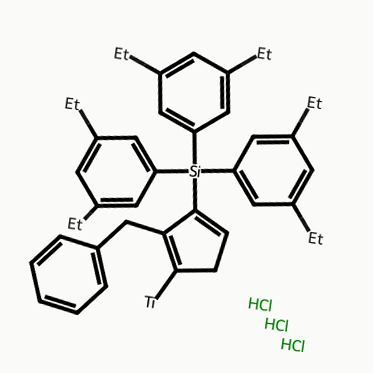 CCc1cc(CC)cc([Si](C2=CC[C]([Ti])=C2Cc2ccccc2)(c2cc(CC)cc(CC)c2)c2cc(CC)cc(CC)c2)c1.Cl.Cl.Cl